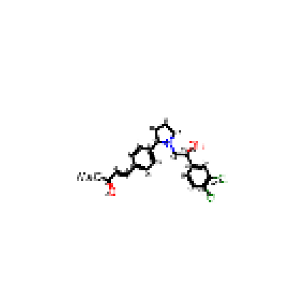 COC(=O)C=Cc1ccc(C2CCCN2CC(O)c2ccc(Cl)c(Cl)c2)cc1